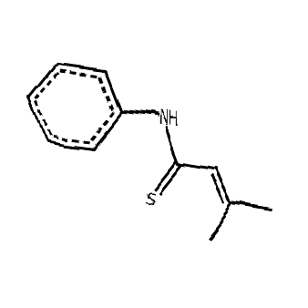 CC(C)=CC(=S)Nc1ccccc1